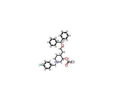 CCC(=O)OC1CN(Cc2ccc(F)cc2)CCC1CCOC(c1ccccc1)c1ccccc1